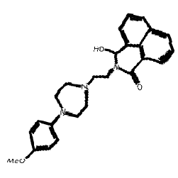 COc1ccc(N2CCN(CCN3C(=O)c4cccc5cccc(c45)C3O)CC2)cc1